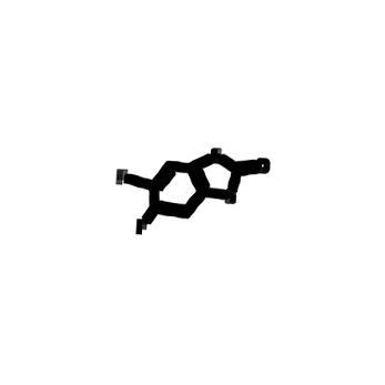 O=c1sc2cc(F)c(F)cc2s1